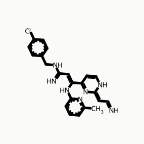 Cc1cccc(N/C(=C\C(=N)NCc2ccc(Cl)cc2)C2=N/C(=C/C=N)NC=C2)n1